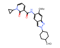 COc1cc2nn(C3CCC(C=O)CC3)cc2cc1NC(=O)c1cccn(C2CC2)c1=O